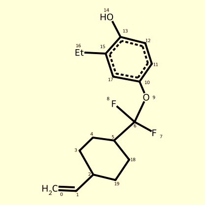 C=CC1CCC(C(F)(F)Oc2ccc(O)c(CC)c2)CC1